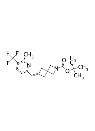 Cc1nc(C=C2CC3(C2)CN(C(=O)OC(C)(C)C)C3)ccc1C(F)(F)F